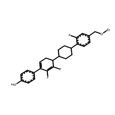 CCOCc1ccc(C2CCC(C3CC=C(c4ccc(O)cc4)C(F)=C3F)CC2)c(F)c1